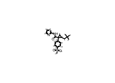 CC(C)(C)CC1CC1(C(=O)Nc1nccs1)c1ccc(S(C)(=O)=O)cc1